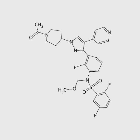 COCN(c1cccc(-c2nn(C3CCN(C(C)=O)CC3)cc2-c2ccncc2)c1F)S(=O)(=O)c1cc(F)ccc1F